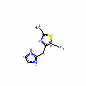 Cc1nc(Cc2ncc[nH]2)c(C)s1